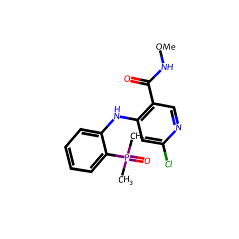 CONC(=O)c1cnc(Cl)cc1Nc1ccccc1P(C)(C)=O